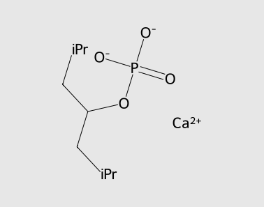 CC(C)CC(CC(C)C)OP(=O)([O-])[O-].[Ca+2]